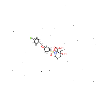 CCC1(O)CCCN(S(=O)(=O)c2ccc(OCc3ccc(F)cc3)cc2)C1C(=O)O